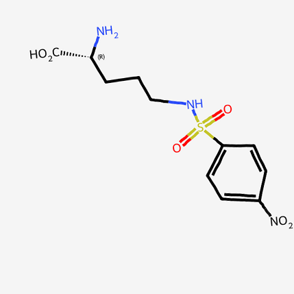 N[C@H](CCCNS(=O)(=O)c1ccc([N+](=O)[O-])cc1)C(=O)O